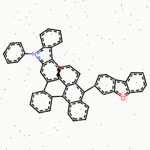 c1ccc(-n2c3ccccc3c3ccc(-c4ccccc4-c4c5ccccc5c(-c5ccc6c(c5)oc5ccccc56)c5ccccc45)cc32)cc1